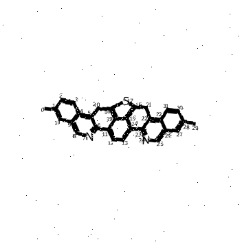 Cc1ccc2c3c(ncc2c1)-c1ccc2c4c(sc(c14)C3)Cc1c-2ncc2cc(C)ccc12